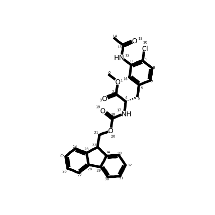 COC(=O)[C@H](Cc1ccc(Cl)c(NC(C)=O)c1)NC(=O)OCC1c2ccccc2-c2ccccc21